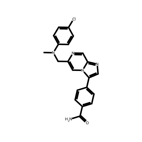 CN(Cc1cn2c(-c3ccc(C(N)=O)cc3)cnc2cn1)c1ccc(Cl)cc1